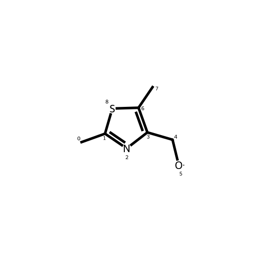 Cc1nc(C[O])c(C)s1